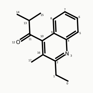 CCc1nc2ccccc2c(C(=O)C(C)C)c1C